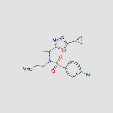 COCCN(C(C)c1nnc(C2CC2)o1)S(=O)(=O)c1ccc(Br)cc1